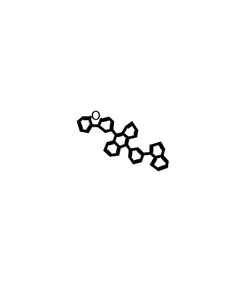 C1=C(c2c3ccccc3c(-c3cccc(-c4cccc5ccccc45)c3)c3ccccc23)CC2C(=C1)Oc1ccccc12